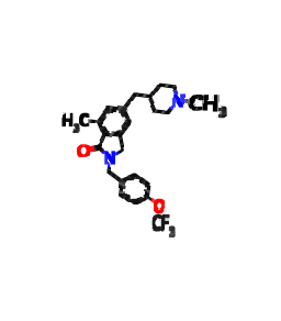 Cc1cc(CC2CCN(C)CC2)cc2c1C(=O)N(Cc1ccc(OC(F)(F)F)cc1)C2